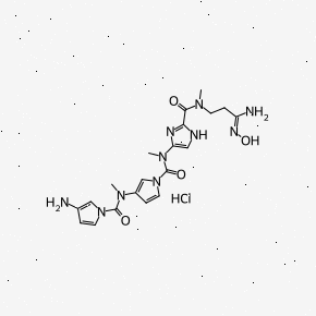 CN(CCC(N)=NO)C(=O)c1nc(N(C)C(=O)n2ccc(N(C)C(=O)n3ccc(N)c3)c2)c[nH]1.Cl